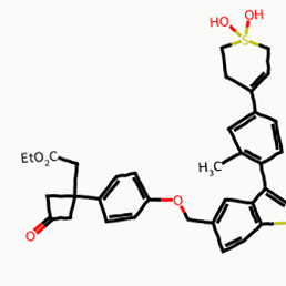 CCOC(=O)CC1(c2ccc(OCc3ccc4scc(-c5ccc(C6=CCS(O)(O)CC6)cc5C)c4c3)cc2)CC(=O)C1